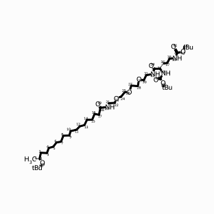 C[C@H](CCCCCCCCCCCCCCCCC(=O)NCCOCCOCCOCCNC(=O)[C@H](CCCNC(=O)OC(C)(C)C)NC(=O)OC(C)(C)C)OC(C)(C)C